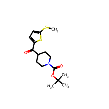 CSc1ccc(C(=O)C2CCN(C(=O)OC(C)(C)C)CC2)s1